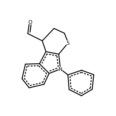 O=CC1CCSc2c1c1ccccc1n2-c1ccccc1